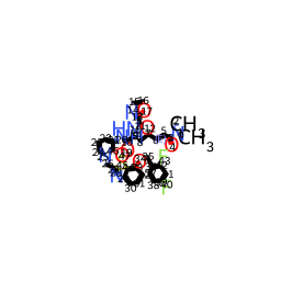 CN(C)C(=O)/C=C/CC[C@H](NC(=O)c1ncco1)C(=O)Nc1cccn(Cc2nc3cccc(OCc4ccc(F)cc4F)c3s2)c1=O